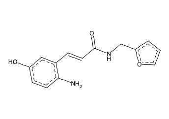 Nc1ccc(O)cc1C=CC(=O)NCc1ccco1